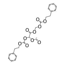 O=[C]OC(OC(=O)OCCc1ccccc1)C(=O)OCOC(=O)OCCc1ccccc1